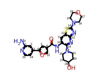 Nc1cc(-c2cc(C(=O)Nc3cc4sc(N5CCOCC5)nc4nc3N3CCC(O)CC3)co2)ccn1